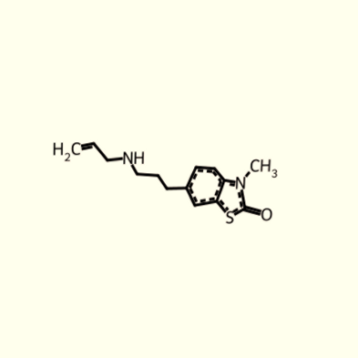 C=CCNCCCc1ccc2c(c1)sc(=O)n2C